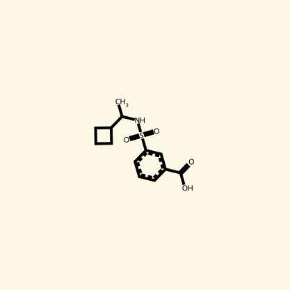 CC(NS(=O)(=O)c1cccc(C(=O)O)c1)C1CCC1